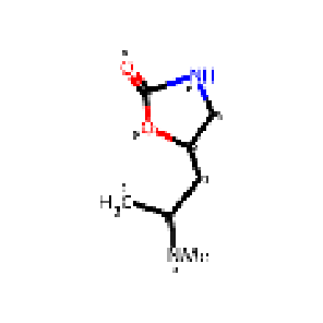 CNC(C)CC1CNC(=O)O1